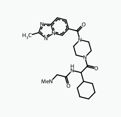 CNCC(=O)NC(C(=O)N1CCN(C(=O)c2ccc3nc(C)nn3c2)CC1)C1CCCCC1